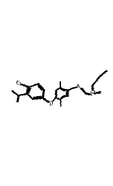 CCN(C)C=Nc1cc(C)c(Oc2ccc(Cl)c(C(C)C)c2)cc1C